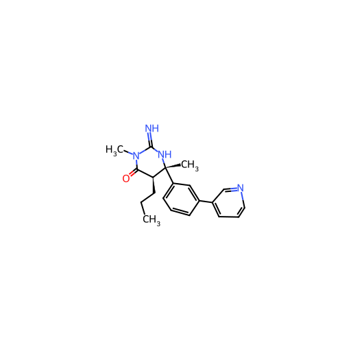 CCC[C@H]1C(=O)N(C)C(=N)N[C@]1(C)c1cccc(-c2cccnc2)c1